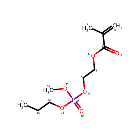 C=C(C)C(=O)OCCOP(=O)(OC)OCCC